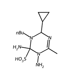 CCCCN1C(C2CC2)N=C(C)N(N)C1(N)S(=O)(=O)O